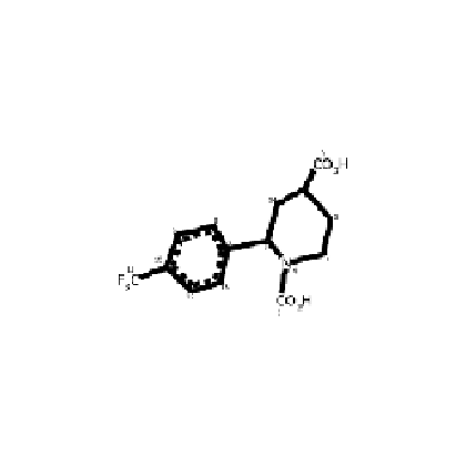 O=C(O)C1CCN(C(=O)O)C(c2ccc(C(F)(F)F)cc2)C1